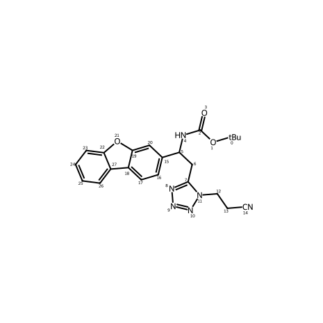 CC(C)(C)OC(=O)NC(Cc1nnnn1CCC#N)c1ccc2c(c1)oc1ccccc12